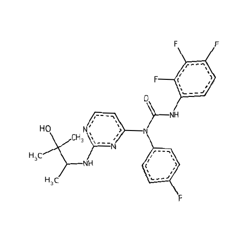 CC(Nc1nccc(N(C(=O)Nc2ccc(F)c(F)c2F)c2ccc(F)cc2)n1)C(C)(C)O